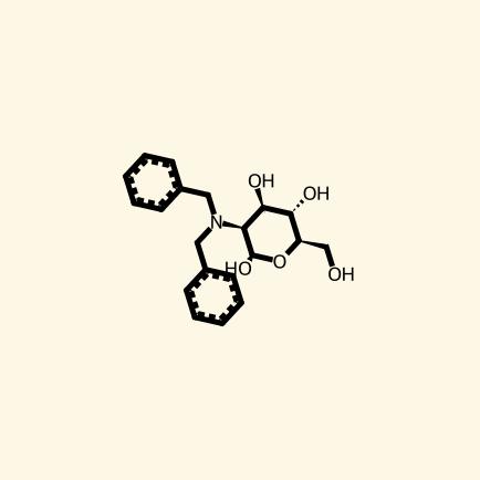 OC[C@H]1O[C@@H](O)[C@@H](N(Cc2ccccc2)Cc2ccccc2)[C@@H](O)[C@@H]1O